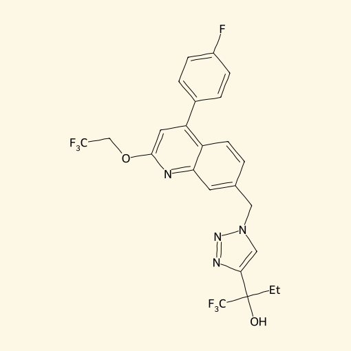 CCC(O)(c1cn(Cc2ccc3c(-c4ccc(F)cc4)cc(OCC(F)(F)F)nc3c2)nn1)C(F)(F)F